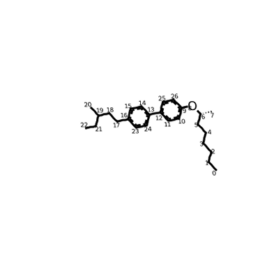 CCCCCC[C@@H](C)Oc1ccc(-c2ccc(CCC(C)CC)cc2)cc1